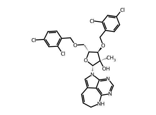 C[C@@]1(O)[C@H](OCc2ccc(Cl)cc2Cl)[C@@H](COCc2ccc(Cl)cc2Cl)O[C@H]1n1cc2c3c(ncnc31)NCC=C2